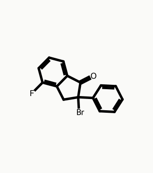 O=C1c2cccc(F)c2CC1(Br)c1ccccc1